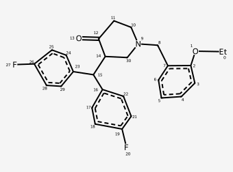 CCOc1ccccc1CN1CCC(=O)C(C(c2ccc(F)cc2)c2ccc(F)cc2)C1